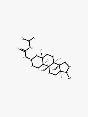 CC(=O)C1CC[C@H]2[C@@H]3CC[C@H]4C[C@H](OC(=O)OC(C)Cl)CC[C@]4(C)[C@H]3CC[C@]12C